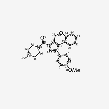 COc1ccc(-n2nc(C(=O)N3CCN(C)CC3)c3c2-c2ccccc2OC3)cn1